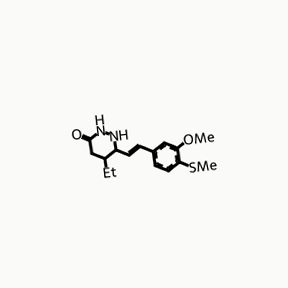 CCC1CC(=O)NNC1/C=C/c1ccc(SC)c(OC)c1